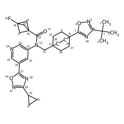 CC(C)(C)c1noc(C23CCC(CN(C(=O)C45CC(F)(C4)C5)c4cncc(-c5nc(C6CC6)no5)c4)(CC2)CC3)n1